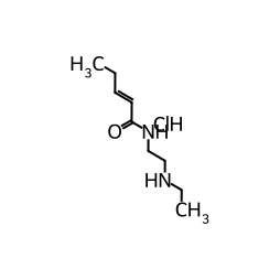 CCC=CC(=O)NCCNCC.Cl